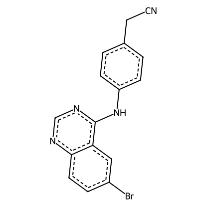 N#CCc1ccc(Nc2ncnc3ccc(Br)cc23)cc1